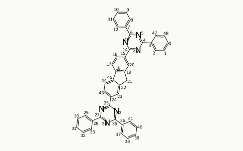 c1ccc(-c2nc(-c3ccccc3)nc(-c3ccc4c(c3)Cc3cc(-c5nc(-c6ccccc6)nc(-c6ccccc6)n5)ccc3-4)n2)cc1